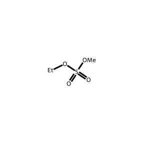 [CH2]COS(=O)(=O)OC